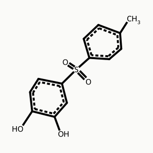 Cc1ccc(S(=O)(=O)c2ccc(O)c(O)c2)cc1